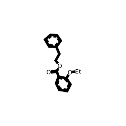 CCOc1ccccc1C(=O)OCCc1ccccc1